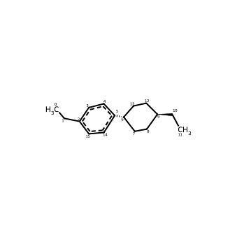 CCc1ccc([C@H]2CC[C@H](CC)CC2)cc1